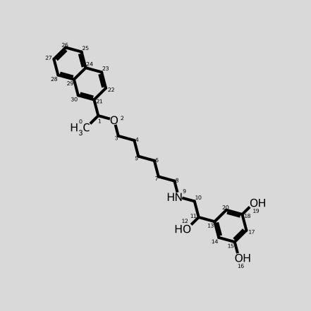 CC(OCCCCCCNCC(O)c1cc(O)cc(O)c1)c1ccc2ccccc2c1